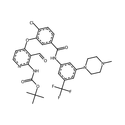 CN1CCN(c2cc(NC(=O)c3ccc(Cl)c(Oc4ccnc(NC(=O)OC(C)(C)C)c4C=O)c3)cc(C(F)(F)F)c2)CC1